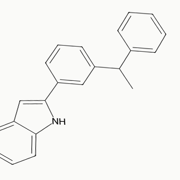 CC(c1ccccc1)c1cccc(-c2cc3ccccc3[nH]2)c1